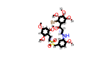 COc1cc(OC)c(/C=C/S(=O)(=O)Cc2ccc(OC)c(N/C=C/C(=O)c3cc(OC)c(OC)c(OC)c3Br)c2)c(OC)c1